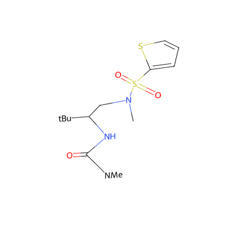 CNC(=O)NC(CN(C)S(=O)(=O)c1cccs1)C(C)(C)C